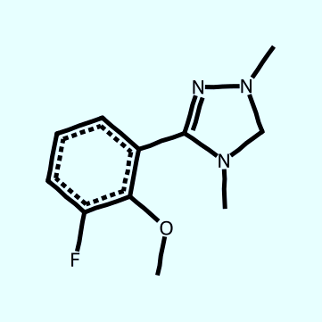 COc1c(F)cccc1C1=NN(C)CN1C